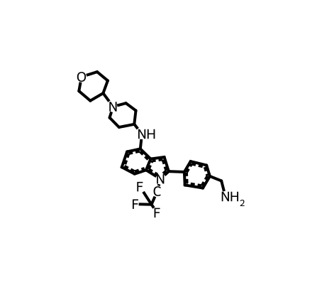 NCc1ccc(-c2cc3c(NC4CCN(C5CCOCC5)CC4)cccc3n2CC(F)(F)F)cc1